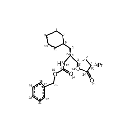 CC(C)[C@H]1C[C@@H]([C@H](CC2CCCCC2)NC(=O)OCc2ccccc2)OC1=O